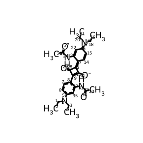 CCN(CC)c1ccc(C2=C([O-])/C(=C3\C=CC(=[N+](CC)CC)C=C3NC(C)=O)C2=O)c(NC(C)=O)c1